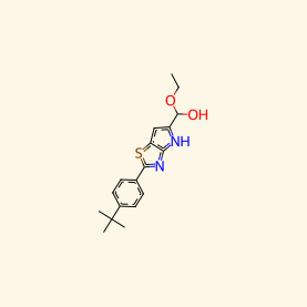 CCOC(O)c1cc2sc(-c3ccc(C(C)(C)C)cc3)nc2[nH]1